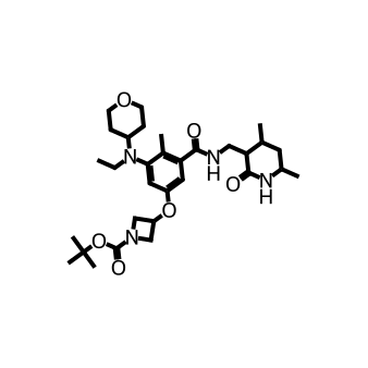 CCN(c1cc(OC2CN(C(=O)OC(C)(C)C)C2)cc(C(=O)NCC2C(=O)NC(C)CC2C)c1C)C1CCOCC1